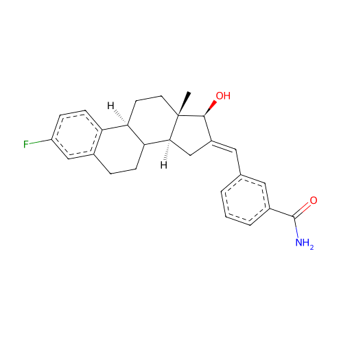 C[C@]12CC[C@@H]3c4ccc(F)cc4CCC3[C@@H]1C/C(=C\c1cccc(C(N)=O)c1)[C@@H]2O